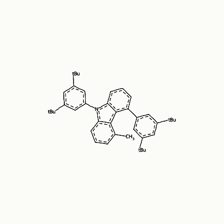 Cc1cccc2c1c1c(-c3cc(C(C)(C)C)cc(C(C)(C)C)c3)cccc1n2-c1cc(C(C)(C)C)cc(C(C)(C)C)c1